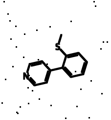 CSc1ccccc1-c1ccncc1